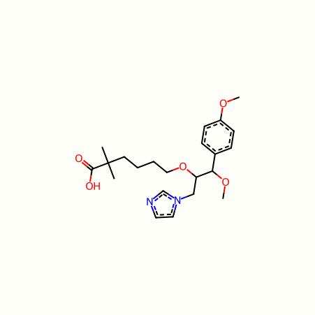 COc1ccc(C(OC)C(Cn2ccnc2)OCCCCC(C)(C)C(=O)O)cc1